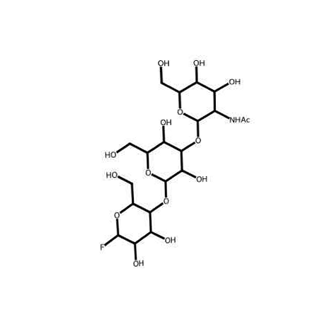 CC(=O)NC1C(OC2C(O)C(CO)OC(OC3C(CO)OC(F)C(O)C3O)C2O)OC(CO)C(O)C1O